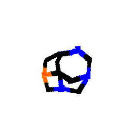 C1N2CN3CP4CN1CC34C2